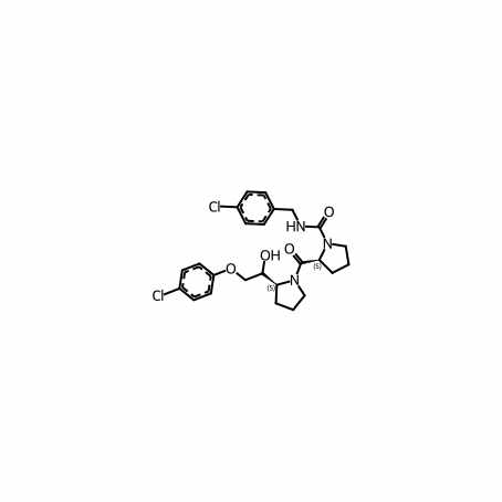 O=C(NCc1ccc(Cl)cc1)N1CCC[C@H]1C(=O)N1CCC[C@H]1C(O)COc1ccc(Cl)cc1